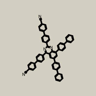 N#Cc1ccc(-c2ccc(-c3nc(-c4ccc(-c5ccc(C#N)cc5)cc4)c4cc(-c5ccc(-c6ccccc6)cc5)cc(-c5ccc(-c6ccccc6)cc5)c4n3)cc2)cc1